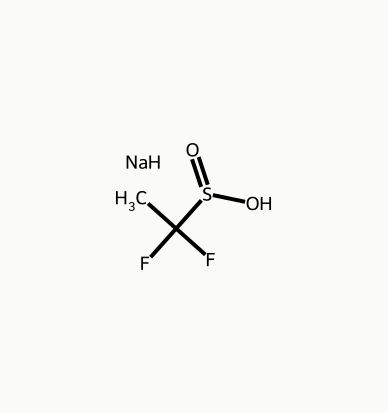 CC(F)(F)S(=O)O.[NaH]